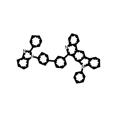 c1ccc(-c2nc3ccccc3n2-c2ccc(-c3cccc(-c4nc5ccccc5c5cc6c7ccccc7n(-c7ccccc7)c6cc45)c3)cc2)cc1